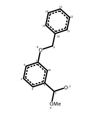 COC([O])c1cccc(OCc2ccccc2)c1